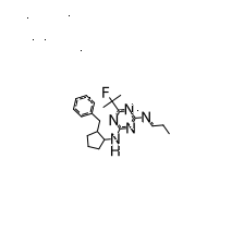 CCC=Nc1nc(NC2CCCC2Cc2ccccc2)nc(C(C)(C)F)n1